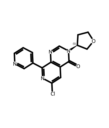 O=c1c2cc(Cl)nc(-c3cccnc3)c2ncn1[C@H]1CCOC1